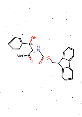 COC(=O)[C@@H](NC(=O)OCC1c2ccccc2-c2ccccc21)[C@H](O)c1ccccc1